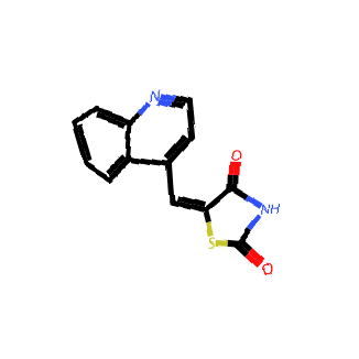 O=C1NC(=O)C(=Cc2ccnc3ccccc23)S1